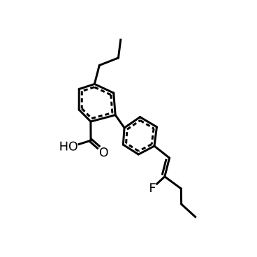 CCCC(F)=Cc1ccc(-c2cc(CCC)ccc2C(=O)O)cc1